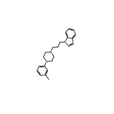 Cc1cccc(N2CCN(CCCn3ncc4ccccc43)CC2)c1